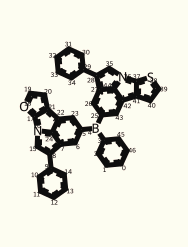 c1ccc(B(c2cc3c(-c4ccccc4)cn4c5occc5c(c2)c34)c2cc3c(-c4ccccc4)cn4c5sccc5c(c2)c34)cc1